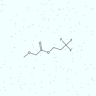 COCC(=O)OCCC(F)(F)F